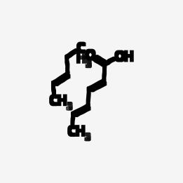 C/C=C/C=C/C(=O)O.CC=CCC